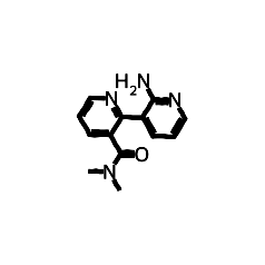 CN(C)C(=O)c1cccnc1-c1cccnc1N